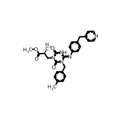 COC(=O)[C@@H](C)Cn1c(=O)[nH]/c(=N\c2ccc(Cc3ccncc3)cc2)n(Cc2ccc(C)cc2)c1=O